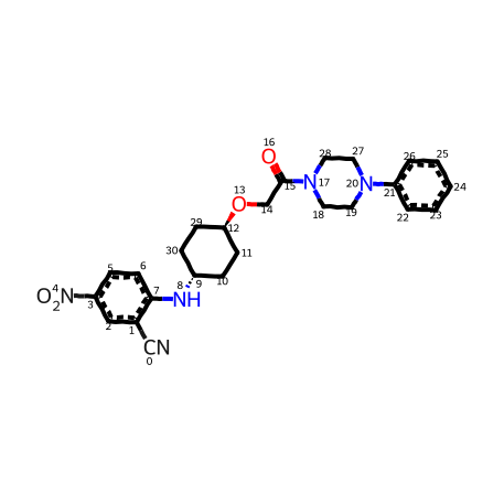 N#Cc1cc([N+](=O)[O-])ccc1N[C@H]1CC[C@H](OCC(=O)N2CCN(c3ccccc3)CC2)CC1